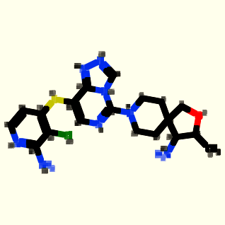 CC1OCC2(CCN(c3ncc(Sc4ccnc(N)c4Cl)c4nncn34)CC2)C1N